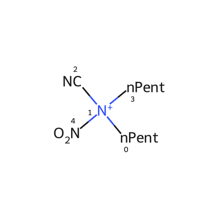 CCCCC[N+](C#N)(CCCCC)[N+](=O)[O-]